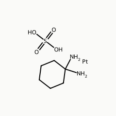 NC1(N)CCCCC1.O=S(=O)(O)O.[Pt]